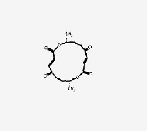 C[C@@H]1CCC(=O)/C=C/C(=O)O[C@H](C)CCC(=O)/C=C/C(=O)O1